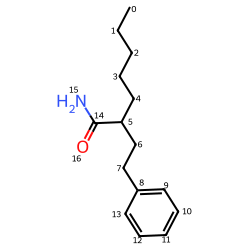 CCCCCC(CCc1ccccc1)C(N)=O